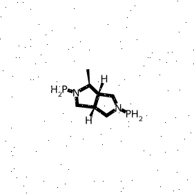 C[C@H]1[C@@H]2CN(P)C[C@@H]2CN1P